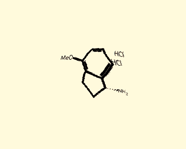 COc1cccc2c1CC[C@H]2N.Cl.Cl